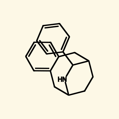 c1ccc(C2NC3CCC2Cc2ccccc2C3)cc1